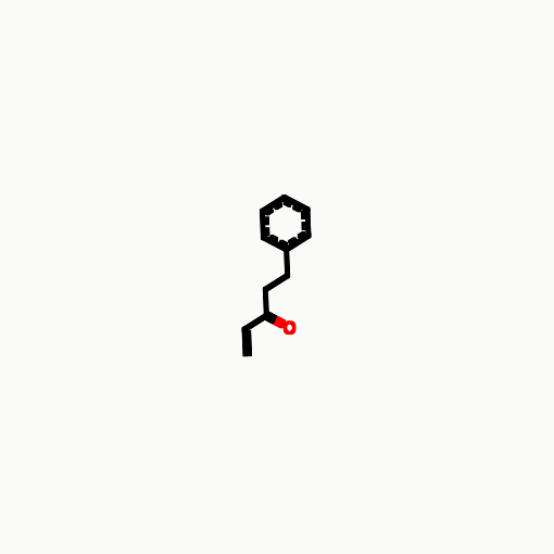 C=CC(=O)CCc1ccccc1